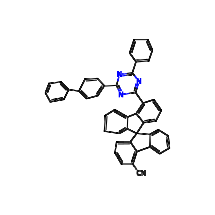 N#Cc1cccc2c1-c1ccccc1C21c2ccccc2-c2c(-c3nc(-c4ccccc4)nc(-c4ccc(-c5ccccc5)cc4)n3)cccc21